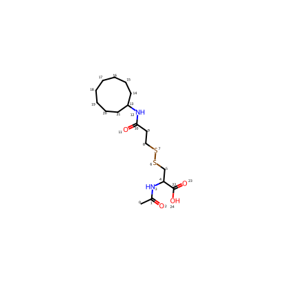 CC(=O)NC(CSSCCC(=O)NC1CCCCCCCC1)C(=O)O